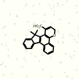 CC1(C)c2ccccc2-c2c1c1c(c3ccccc23)OCC=C1C(=O)O